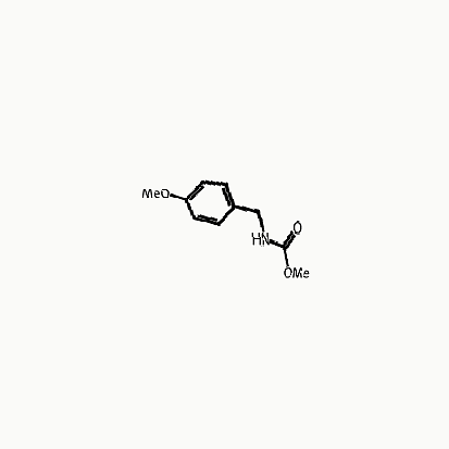 COC(=O)NCc1ccc(OC)cc1